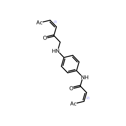 CC(=O)/C=C\C(=O)CNc1ccc(NC(=O)/C=C\C(C)=O)cc1